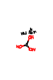 OB(O)O.[LiH].[NaH].[Y]